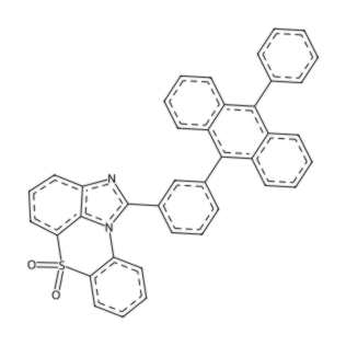 O=S1(=O)c2ccccc2-n2c(-c3cccc(-c4c5ccccc5c(-c5ccccc5)c5ccccc45)c3)nc3cccc1c32